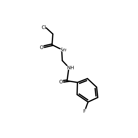 O=[C](CCl)[Sn][CH2]NC(=O)c1cccc(F)c1